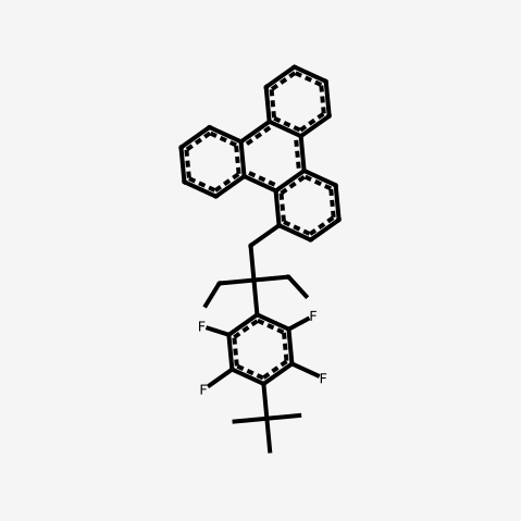 CCC(CC)(Cc1cccc2c3ccccc3c3ccccc3c12)c1c(F)c(F)c(C(C)(C)C)c(F)c1F